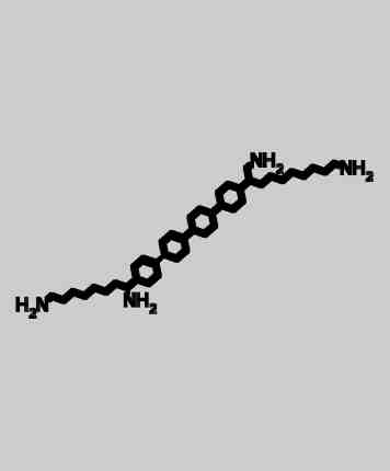 NCCCCCCCCC(CN)C1CCC(C2CCC(C3=CC[C@H](C4=CCC([C@H](N)CCCCCCCN)CC4)CC3)CC2)CC1